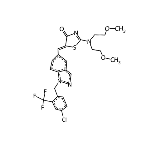 COCCN(CCOC)C1=NC(=O)C(=Cc2ccc3c(cnn3Cc3ccc(Cl)cc3C(F)(F)F)c2)S1